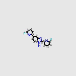 Fc1cccc(-c2ccc3[nH]c(-c4cccc(F)n4)nc3c2)n1